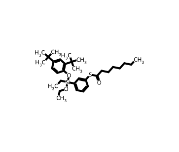 CCCCCCCC(=O)Sc1cccc([Si](CC)(OCC)Oc2ccc(C(C)(C)C)cc2C(C)(C)C)c1